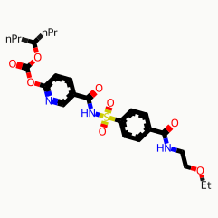 CCCC(CCC)OC(=O)Oc1ccc(C(=O)NS(=O)(=O)c2ccc(C(=O)NCCOCC)cc2)cn1